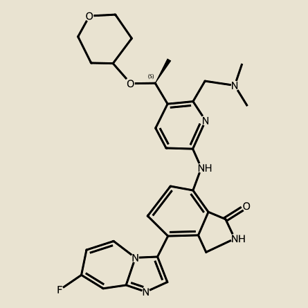 C[C@H](OC1CCOCC1)c1ccc(Nc2ccc(-c3cnc4cc(F)ccn34)c3c2C(=O)NC3)nc1CN(C)C